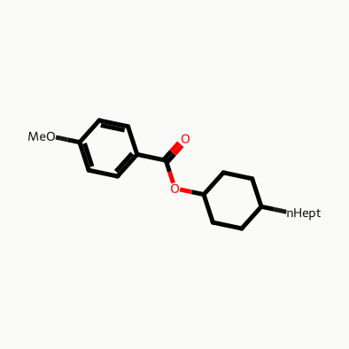 CCCCCCCC1CCC(OC(=O)c2ccc(OC)cc2)CC1